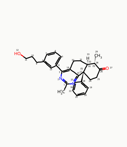 Cc1nc(-c2cccc(CCCO)c2)c2c(n1)[C@@]1(c3ccccc3)CCC(=O)[C@@H](C)[C@@H]1CC2